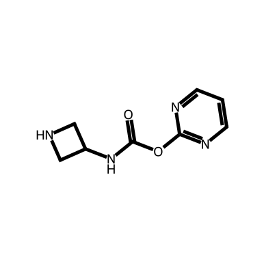 O=C(NC1CNC1)Oc1ncccn1